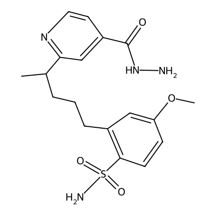 COc1ccc(S(N)(=O)=O)c(CCCC(C)c2cc(C(=O)NN)ccn2)c1